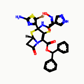 Nc1nc(C2(NC(=O)/C=N\O)S[C@H]3CC(=O)N3C(C(=O)OC(c3ccccc3)c3ccccc3)=C2SCc2cn[nH]c2)c(Br)s1